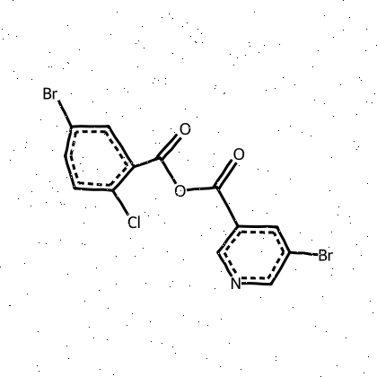 O=C(OC(=O)c1cc(Br)ccc1Cl)c1cncc(Br)c1